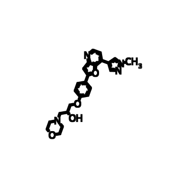 Cn1cc(-c2ccnc3cc(-c4ccc(OCC(O)CN5CCOCC5)cc4)oc23)cn1